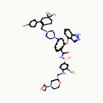 CC1(C)CCC(CN2CCN(c3ccc(C(=O)N[S+]([O-])c4ccc(NC[C@H]5CN(C6COC6)CCO5)c([N+](=O)[O-])c4)c(Oc4cccc5[nH]ncc45)c3)CC2)=C(c2ccc(Cl)cc2)C1